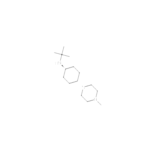 CN1CCN([C@H]2CC[C@H](NC(C)(C)C)CC2)CC1